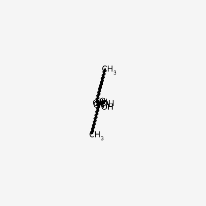 CCCCCC=CCC=CCC=CCC=CCCCC(=O)PN(C(=O)CCCCCCCCCCCCCCCCC)[C@@H](CO)C(=O)O